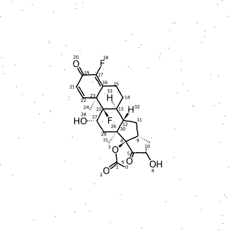 CC(=O)O[C@]1(C(=O)CO)[C@@H](C)C[C@H]2[C@@H]3CCC4=C(F)C(=O)C=C[C@]4(C)[C@@]3(F)[C@@H](O)C[C@@]21C